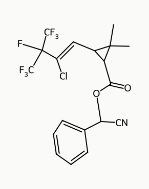 CC1(C)C(C=C(Cl)C(F)(C(F)(F)F)C(F)(F)F)C1C(=O)OC(C#N)c1ccccc1